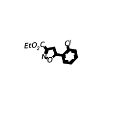 CCOC(=O)C1=NOC(c2ccccc2Cl)C1